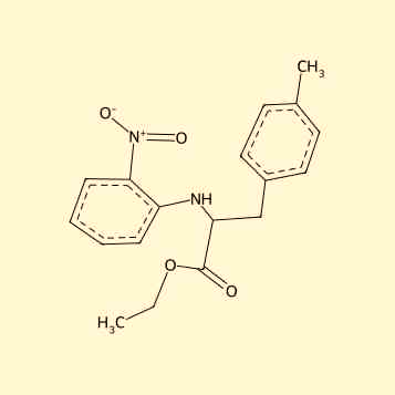 CCOC(=O)C(Cc1ccc(C)cc1)Nc1ccccc1[N+](=O)[O-]